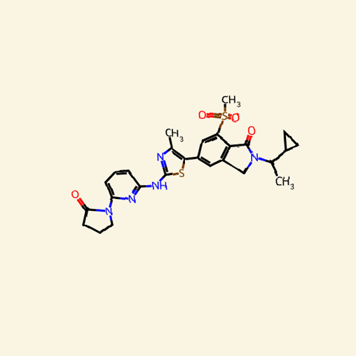 Cc1nc(Nc2cccc(N3CCCC3=O)n2)sc1-c1cc2c(c(S(C)(=O)=O)c1)C(=O)N(C(C)C1CC1)C2